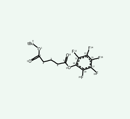 CC(C)(C)OC(=O)CCCC(=O)Oc1c(F)c(F)c(F)c(F)c1F